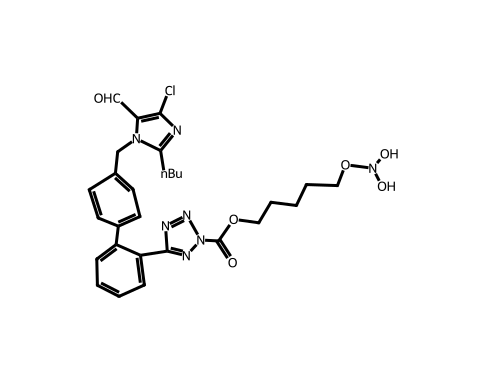 CCCCc1nc(Cl)c(C=O)n1Cc1ccc(-c2ccccc2-c2nnn(C(=O)OCCCCCON(O)O)n2)cc1